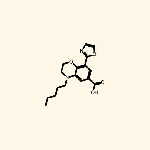 CCCCCN1CCOc2c(-c3ncco3)cc(C(=O)O)cc21